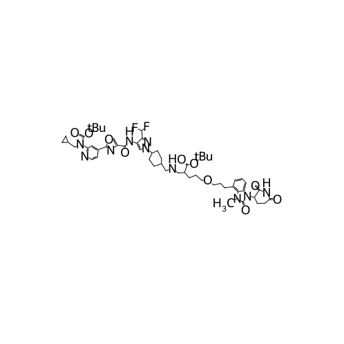 Cn1c(=O)n(C2CCC(=O)NC2=O)c2cccc(CCCOCCCC(CNCC3CCC(n4cc(NC(=O)c5coc(-c6ccnc(N(CC7CC7)C(=O)OC(C)(C)C)c6)n5)c(C(F)F)n4)CC3)C(=O)OC(C)(C)C)c21